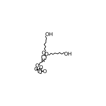 O=C(CCN1CCC(OCCCCCCCCO)(OCCCCCCCCO)CC1)ON1C(=O)CCC1=O